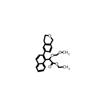 CCOC(=O)C(OCOC)c1c(-c2ccc3c(c2)CCOC3)ccc2ccccc12